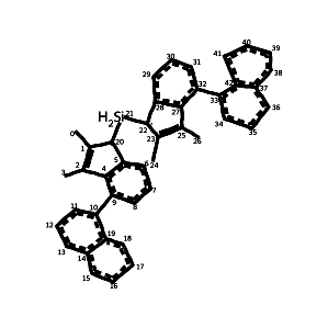 CC1=C(C)c2c(cccc2-c2cccc3ccccc23)[C]1[SiH2][C]1C(C)=C(C)c2c1cccc2-c1cccc2ccccc12